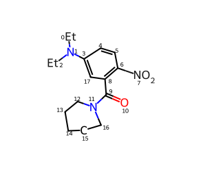 CCN(CC)c1ccc([N+](=O)[O-])c(C(=O)N2CCCCC2)c1